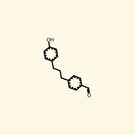 O=Cc1ccc(CCCc2ccc(O)cc2)cc1